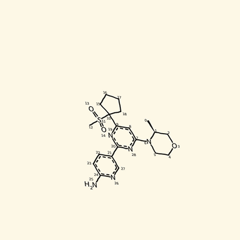 C[C@H]1COCCN1c1cc(C2(S(C)(=O)=O)CCCC2)nc(-c2ccc(N)nc2)n1